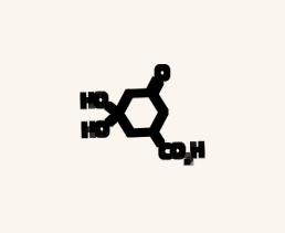 O=C1CC(C(=O)O)CC(O)(O)C1